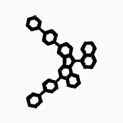 c1cncc(-c2ccc(-c3ccc4c(c3)c3cc(-c5ccc(-c6cccnc6)cn5)c5ccccc5c3n4-c3nccc4ccccc34)nc2)c1